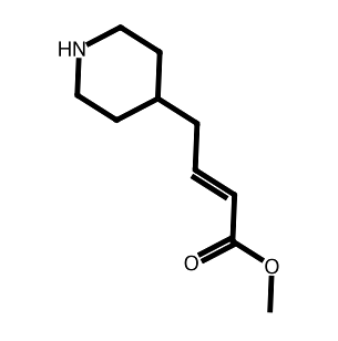 COC(=O)C=CCC1CCNCC1